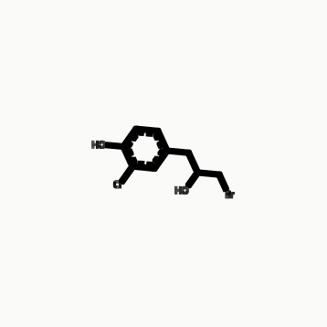 Oc1ccc(CC(O)CBr)cc1Cl